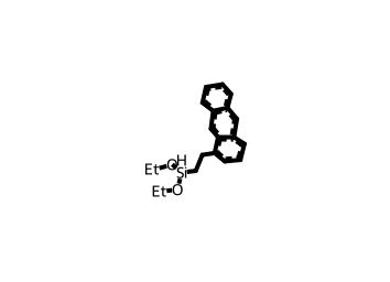 CCO[SiH](CCc1cccc2cc3ccccc3cc12)OCC